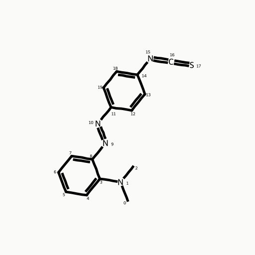 CN(C)c1ccccc1N=Nc1ccc(N=C=S)cc1